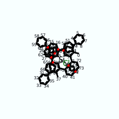 Cc1c(-c2ccccc2)cc(-c2ccccc2)c([Si](Cl)(c2c(-c3ccccc3)cc(-c3ccccc3)c(C)c2-c2ccccc2)c2c(-c3ccccc3)cc(-c3ccccc3)c(C)c2-c2ccccc2)c1-c1ccccc1